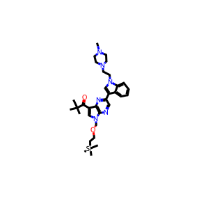 CN1CCN(CCn2cc(-c3cnc4c(n3)c(C(=O)C(C)(C)C)cn4COCC[Si](C)(C)C)c3ccccc32)CC1